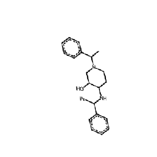 CC(C)C(NC1CCN(C(C)c2ccccc2)CC1O)c1ccccc1